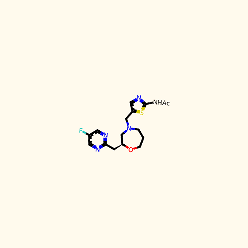 CC(=O)Nc1ncc(CN2CCCO[C@@H](Cc3ncc(F)cn3)C2)s1